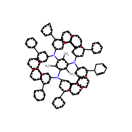 Cc1c(N(c2cc(-c3ccccc3)cc(-c3ccccc3)c2)c2cc(-c3ccccc3)cc(-c3ccccc3)c2)c(C)c(N(c2cc(-c3ccccc3)cc(-c3ccccc3)c2)c2cc(-c3ccccc3)cc(C3C=CC=CC3)c2)c(C)c1N(c1cc(-c2ccccc2)cc(-c2ccccc2)c1)c1cc(-c2ccccc2)cc(-c2ccccc2)c1